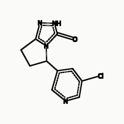 O=c1[nH]nc2n1C(c1cncc(Cl)c1)CC2